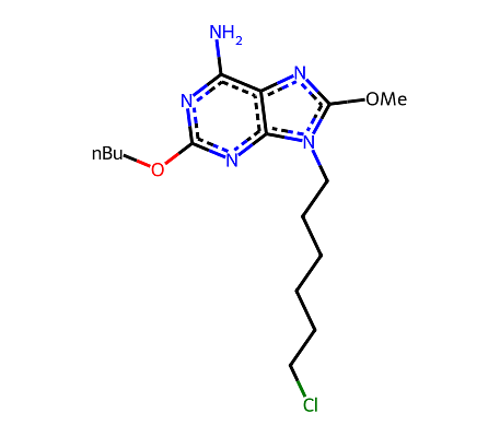 CCCCOc1nc(N)c2nc(OC)n(CCCCCCCl)c2n1